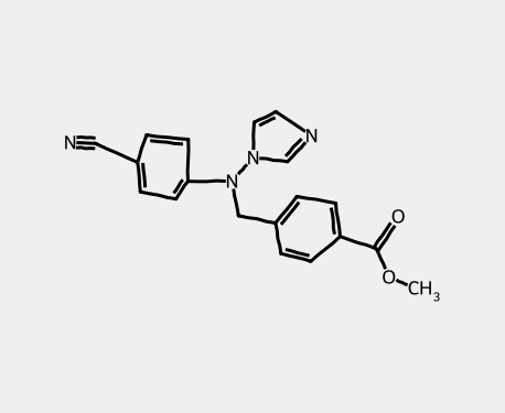 COC(=O)c1ccc(CN(c2ccc(C#N)cc2)n2ccnc2)cc1